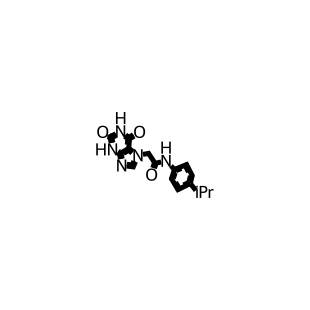 CC(C)c1ccc(NC(=O)Cn2cnc3[nH]c(=O)[nH]c(=O)c32)cc1